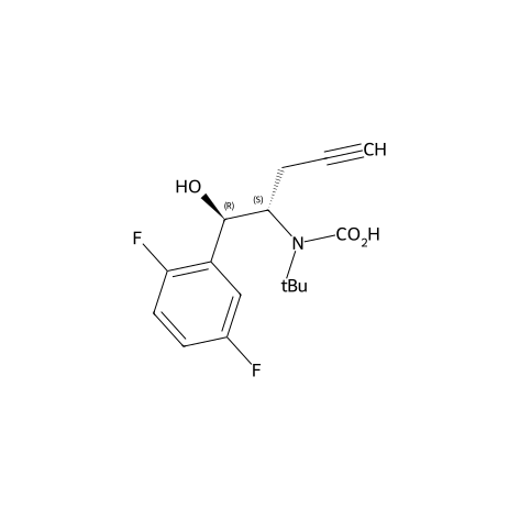 C#CC[C@@H]([C@H](O)c1cc(F)ccc1F)N(C(=O)O)C(C)(C)C